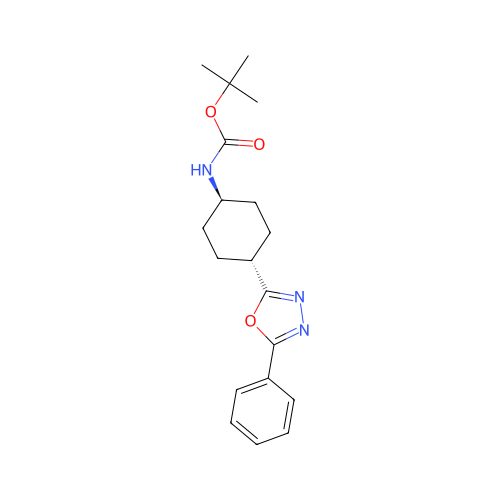 CC(C)(C)OC(=O)N[C@H]1CC[C@H](c2nnc(-c3ccccc3)o2)CC1